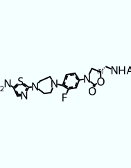 CC(=O)NC[C@H]1CN(c2ccc(N3CCN(c4ncc([N+](=O)[O-])s4)CC3)c(F)c2)C(=O)O1